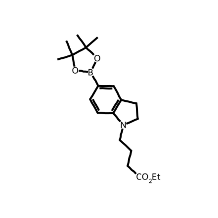 CCOC(=O)CCCN1CCc2cc(B3OC(C)(C)C(C)(C)O3)ccc21